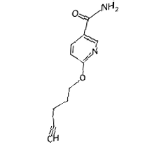 C#CCCCOc1ccc(C(N)=O)cn1